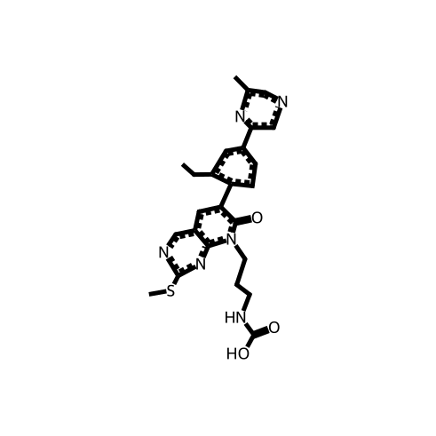 CCc1cc(-c2cncc(C)n2)ccc1-c1cc2cnc(SC)nc2n(CCCNC(=O)O)c1=O